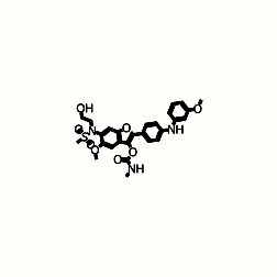 CNC(=O)Oc1c(-c2ccc(Nc3cccc(OC)c3)cc2)oc2cc(N(CCO)S(C)(=O)=O)c(OC)cc12